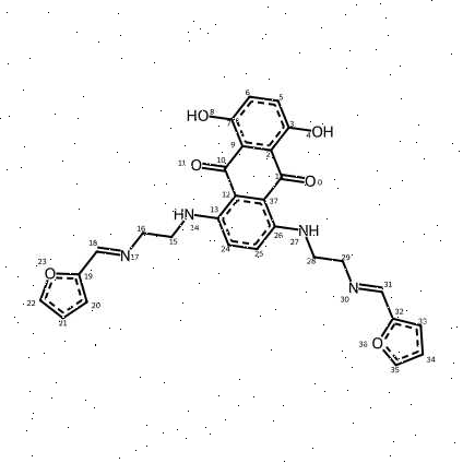 O=C1c2c(O)ccc(O)c2C(=O)c2c(NCCN=Cc3ccco3)ccc(NCCN=Cc3ccco3)c21